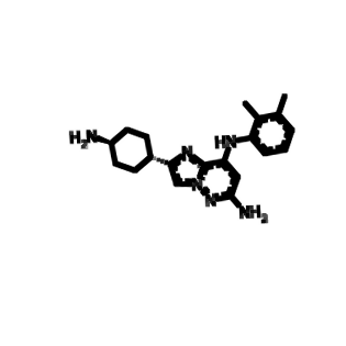 Cc1cccc(Nc2cc(N)nn3cc([C@H]4CC[C@H](N)CC4)nc23)c1C